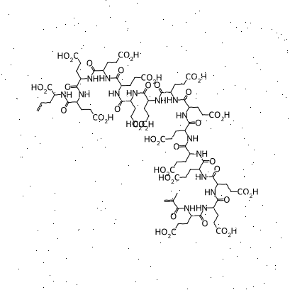 C=CCC(NC(=O)C(CCC(=O)O)NC(=O)C(CCC(=O)O)NC(=O)C(CCC(=O)O)NC(=O)C(CCC(=O)O)NC(=O)C(CCC(=O)O)NC(=O)C(CCC(=O)O)NC(=O)C(CCC(=O)O)NC(=O)C(CCC(=O)O)NC(=O)C(CCC(=O)O)NC(=O)C(CCC(=O)O)NC(=O)C(CCC(=O)O)NC(=O)C(CCC(=O)O)NC(=O)C(CCC(=O)O)NC(=O)C(CCC(=O)O)NC(=O)C(=C)C)C(=O)O